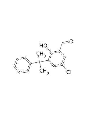 CC(C)(c1ccccc1)c1cc(Cl)cc(C=O)c1O